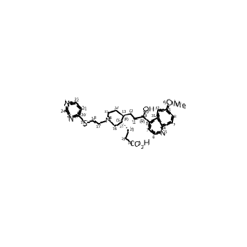 COc1ccc2nccc([C@H](O)CC[C@@H]3CCN(CCSc4ccncn4)C[C@H]3CCC(=O)O)c2c1